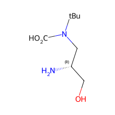 CC(C)(C)N(C[C@@H](N)CO)C(=O)O